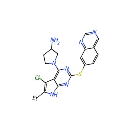 CCc1[nH]c2nc(Sc3ccc4cncnc4c3)nc(N3CCC(N)C3)c2c1Cl